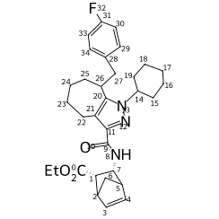 CCOC(=O)[C@H]1C2C=CC(C2)[C@H]1NC(=O)c1nn(C2CCCCC2)c2c1CCCCC2Cc1ccc(F)cc1